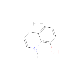 CN1C=CCc2cccc(O)c21.[BeH2]